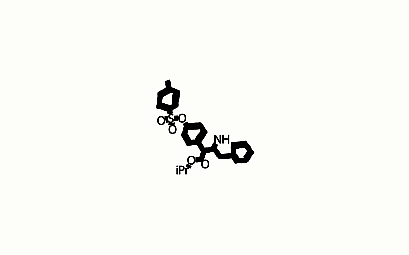 Cc1ccc(S(=O)(=O)Oc2ccc(C(C(=O)OC(C)C)C(N)Cc3ccccc3)cc2)cc1